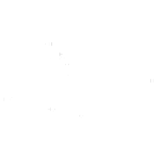 C=C(C)C1CCC(C)=C[C@H]1C1=C(O)C(=O)C(CCCCC)=CC1=O